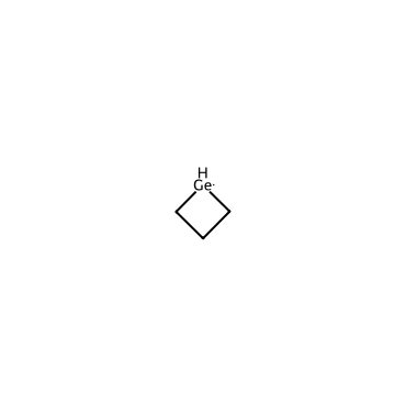 C1[CH2][GeH][CH2]1